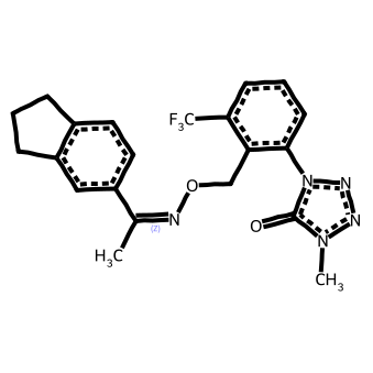 C/C(=N/OCc1c(-n2nnn(C)c2=O)cccc1C(F)(F)F)c1ccc2c(c1)CCC2